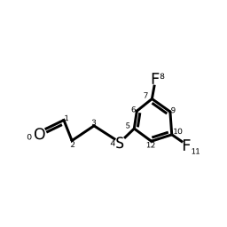 O=CCCSc1cc(F)cc(F)c1